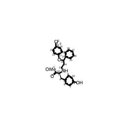 COC(=O)[C@H](Cc1ccc(O)cc1)NCCC(Oc1ccc(C(F)(F)F)cc1)c1ccccc1